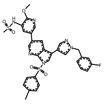 COc1ncc(-c2cnc3c(c2)c(-c2cnn(Cc4cccc(F)c4)c2)cn3S(=O)(=O)c2ccc(C)cc2)cc1NS(C)(=O)=O